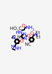 CCN(CC)C(=O)c1ccc(C#N)cc1Oc1nc(NC(CC(N)=O)C(=O)O)c([N+](=O)[O-])c(Oc2cc(C3=NCCN3)cc(N(C)C)c2)n1